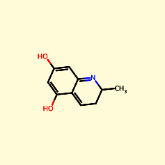 CC1CC=c2c(O)cc(O)cc2=N1